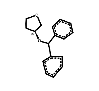 c1ccc(C(O[C@H]2CCOC2)c2ccccc2)cc1